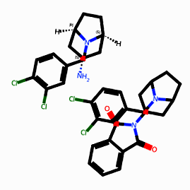 N[C@@H]1C[C@H]2CC[C@@H](C1)N2Cc1ccc(Cl)c(Cl)c1.O=C1c2ccccc2C(=O)N1C1CC2CCC(C1)N2Cc1ccc(Cl)c(Cl)c1